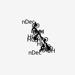 CCCCCCCCCCCC(=O)OC(CCCCCCCCCCC)CC(=O)NC(CCCNC(=O)C(CCOP(=O)(O)O)NC(=O)CC(O)CCCCCCCCCCC)COP(=O)(O)O